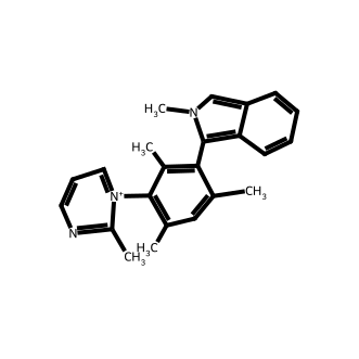 Cc1cc(C)c(-[n+]2cccnc2C)c(C)c1-c1c2ccccc2cn1C